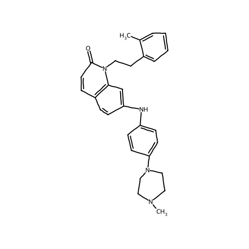 Cc1ccccc1CCn1c(=O)ccc2ccc(Nc3ccc(N4CCN(C)CC4)cc3)cc21